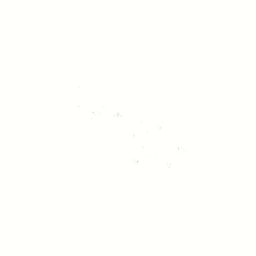 CCC(C#N)(CCCNCCOc1ccccc1OC)c1cc(OC)c(OC)c(OC)c1